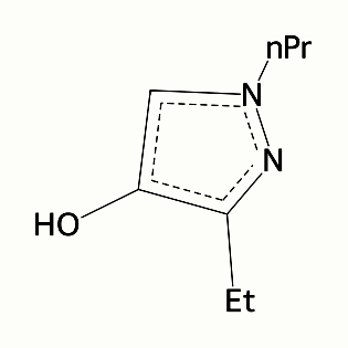 CCCn1cc(O)c(CC)n1